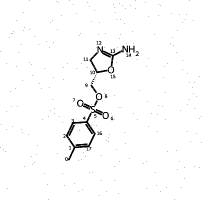 Cc1ccc(S(=O)(=O)OC[C@@H]2CN=C(N)O2)cc1